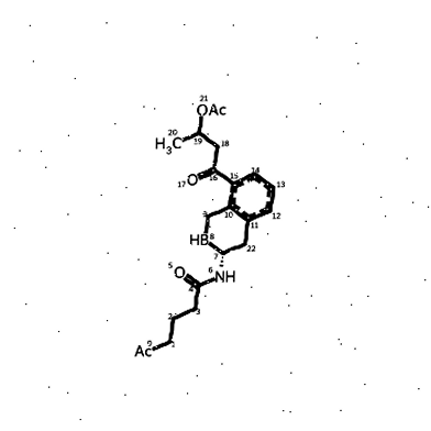 CC(=O)CCCC(=O)N[C@@H]1BCc2c(cccc2C(=O)CC(C)OC(C)=O)C1